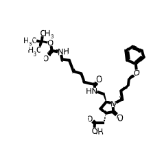 CC(C)(C)OC(=O)NCCCCCC(=O)NC[C@@H]1C[C@@H](CC(=O)O)C(=O)N1CCCCOc1ccccc1